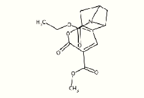 CCOC(=O)N1C2Cc3oc(=O)c(C(=O)OC)cc3C1C2